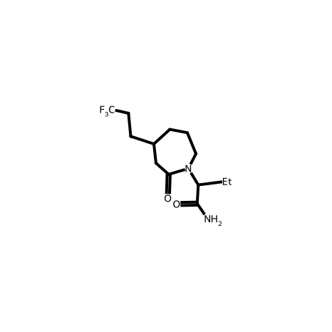 CCC(C(N)=O)N1CCCC(CCC(F)(F)F)CC1=O